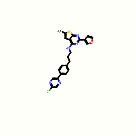 Cc1cc2c(NCCCc3ccc(-c4cnc(Cl)cn4)cc3)nc(-c3ccoc3)nc2s1